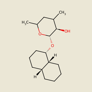 CC1CC(C)[C@@H](O)[C@H](O[C@H]2CCC[C@H]3CCCC[C@H]32)O1